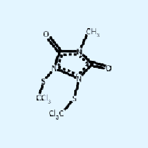 Cn1c(=O)n(SC(Cl)(Cl)Cl)n(SC(Cl)(Cl)Cl)c1=O